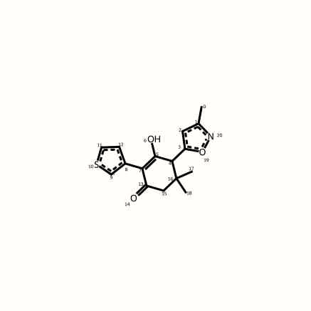 Cc1cc(C2C(O)=C(c3[c]scc3)C(=O)CC2(C)C)on1